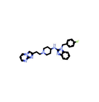 Fc1ccc(Cn2c(NC3CCN(CCc4cn5cccnc5n4)CC3)nc3ccccc32)cc1